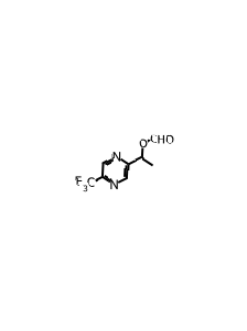 CC(OC=O)c1cnc(C(F)(F)F)cn1